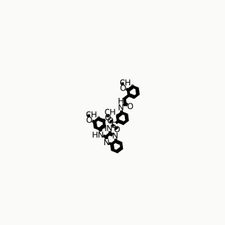 COc1cc(Nc2nc3ccccc3nc2NS(=O)(=O)c2cccc(NC(=O)Cc3ccccc3OC)c2)cc(OC)c1